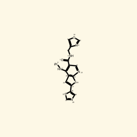 CC(C)Nc1c(C(=O)NCc2cocn2)cnc2sc(-c3cncs3)cc12